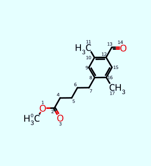 COC(=O)CCCCc1cc(C)c(C=O)cc1C